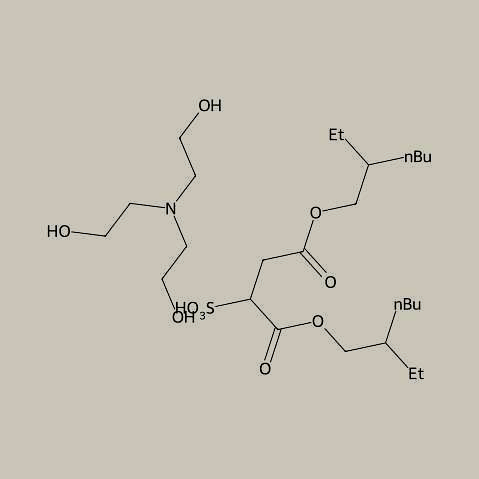 CCCCC(CC)COC(=O)CC(C(=O)OCC(CC)CCCC)S(=O)(=O)O.OCCN(CCO)CCO